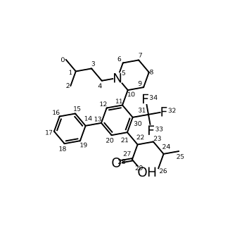 CC(C)CCN1CCCCC1c1cc(-c2ccccc2)cc(C(CC(C)C)C(=O)O)c1C(F)(F)F